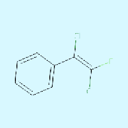 FC(Cl)=C(Cl)c1ccccc1